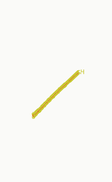 CS(=S)(=S)SSSSSSSSSSSSSSSSSSSSSSSSSSSSSSSSSSSSSSSSSSSSSSSSSSSSSSSSSSSSSSSSSSSSSSSSSSSSSSSSSSS